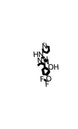 Cc1nc(N[C@@H]2CCCN(C)C2)nnc1-c1ccc(OC(F)F)cc1O